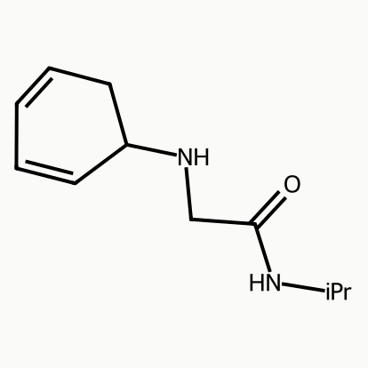 CC(C)NC(=O)CNC1C=CC=CC1